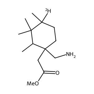 [2H]C1(C)CCC(CN)(CC(=O)OC)C(C)C1(C)C